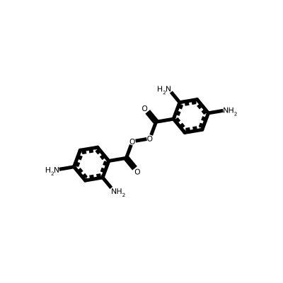 Nc1ccc(C(=O)OOC(=O)c2ccc(N)cc2N)c(N)c1